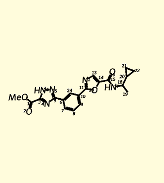 COC(=O)c1nc(-c2cccc(-c3ncc(C(=O)NC(C)C4CC4)o3)c2)n[nH]1